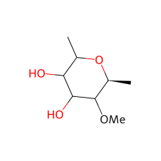 COC1C(O)C(O)C(C)O[C@H]1C